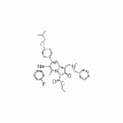 CCOC(=O)C1C(=O)C(CN(C)Cc2ccccc2)=C2N=C(c3ccc(OCC(C)C)cc3)C(C#N)=C(Cc3ccccc3F)N21